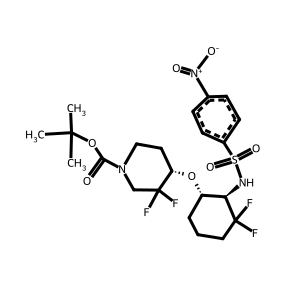 CC(C)(C)OC(=O)N1CC[C@H](O[C@H]2CCCC(F)(F)[C@@H]2NS(=O)(=O)c2ccc([N+](=O)[O-])cc2)C(F)(F)C1